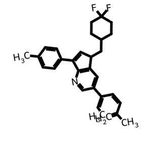 C=C(C)/C=C\C(=C/C)c1cnc2c(c1)C(CC1CCC(F)(F)CC1)C=C2c1ccc(C)cc1